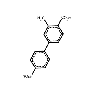 CCCCCCCCc1ccc(-c2ccc(C(=O)O)c(C)c2)cc1